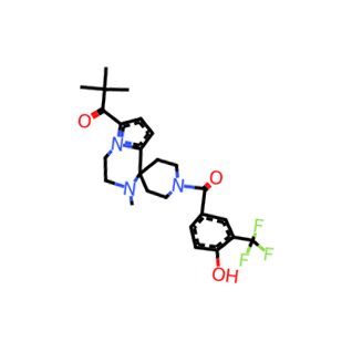 CN1CCn2c(C(=O)C(C)(C)C)ccc2C12CCN(C(=O)c1ccc(O)c(C(F)(F)F)c1)CC2